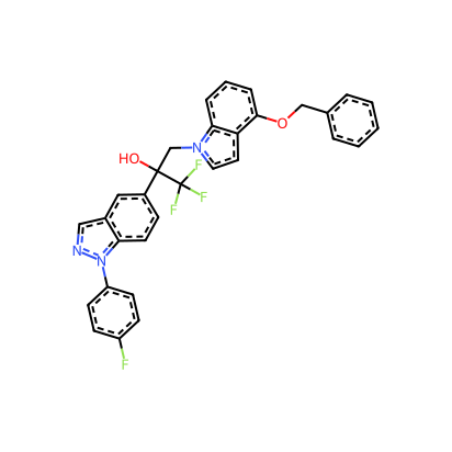 OC(Cn1ccc2c(OCc3ccccc3)cccc21)(c1ccc2c(cnn2-c2ccc(F)cc2)c1)C(F)(F)F